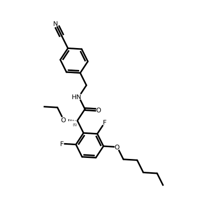 CCCCCOc1ccc(F)c([C@H](OCC)C(=O)NCc2ccc(C#N)cc2)c1F